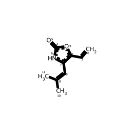 C=Cc1oc(=O)[nH]c1C=C(C)C